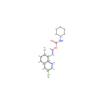 O=C(NC1CCCCC1)ON=Cc1c(Cl)ccc2cc(Cl)cnc12